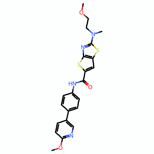 COCCN(C)c1nc2sc(C(=O)Nc3ccc(-c4ccc(OC)nc4)cc3)cc2s1